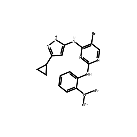 CCCN(CCC)c1ccccc1Nc1ncc(Br)c(Nc2cc(C3CC3)n[nH]2)n1